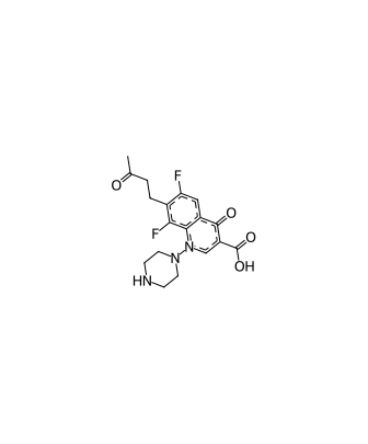 CC(=O)CCc1c(F)cc2c(=O)c(C(=O)O)cn(N3CCNCC3)c2c1F